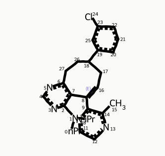 CCCN(c1ncnc2c1/C(c1nccnc1C)=C\CC(c1cccc(Cl)c1)CC2)C(C)C